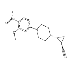 C#C[C@@H]1C[C@H]1C1CCN(c2ccc([N+](=O)[O-])c(OC)c2)CC1